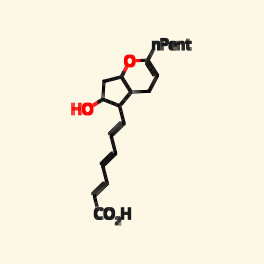 CCCCCC1=CCC2C(CC(O)C2C=CC=CC=CC(=O)O)O1